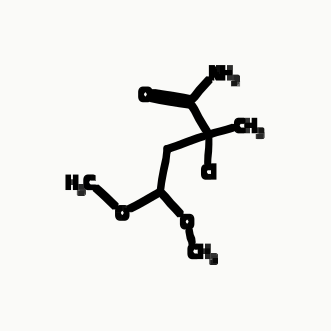 COC(CC(C)(Cl)C(N)=O)OC